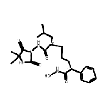 CC(C)C[C@@H](CCC[C@H](C(=O)NO)c1ccccc1)C(=O)NN1C(=O)NC(C)(C)C1=O